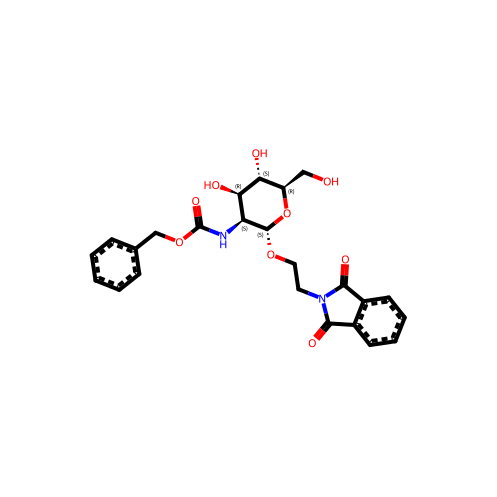 O=C(N[C@@H]1[C@@H](OCCN2C(=O)c3ccccc3C2=O)O[C@H](CO)[C@@H](O)[C@@H]1O)OCc1ccccc1